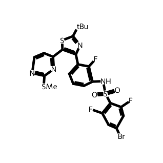 CSc1nccc(-c2sc(C(C)(C)C)nc2-c2cccc(NS(=O)(=O)c3c(F)cc(Br)cc3F)c2F)n1